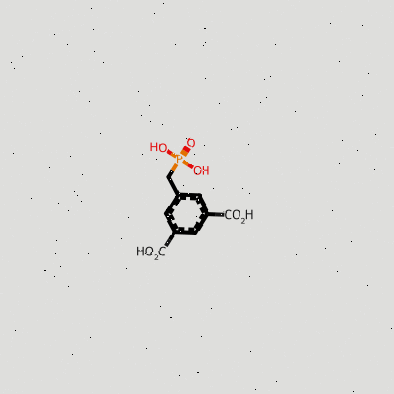 O=C(O)c1cc(CP(=O)(O)O)cc(C(=O)O)c1